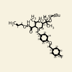 C=CCONC(=O)C1C(C)OC(C(C)(C)O[SiH2]C(C)(C)C)CN1Sc1ccc(OCc2ccc(F)cc2)cc1